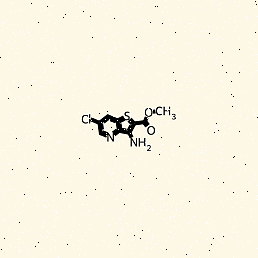 COC(=O)c1sc2cc(Cl)cnc2c1N